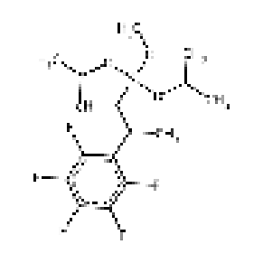 CO[Si](CC(C)c1c(F)c(F)c(F)c(F)c1F)(OC(C)C)OC(C)C